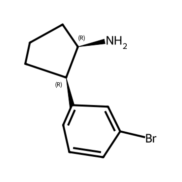 N[C@@H]1CCC[C@@H]1c1cccc(Br)c1